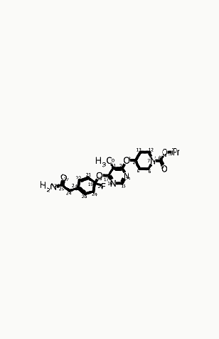 Cc1c(OC2CCN(C(=O)OC(C)C)CC2)ncnc1OC1(F)C=CC(CC(N)=O)=CC1